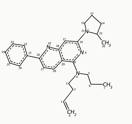 C=CCCN(CCC)c1nc(N2CCCC2C)cc2nc(-c3ccccc3)ccc12